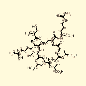 CC(C)C[C@H](NC(=O)[C@H](CCC(=O)O)NC(=O)[C@H](CCC(=O)O)NC(=O)[C@H](CCC(=O)O)NC(=O)[C@H](CC(C)C)NC(=O)[C@H](CCCNC(=N)N)NC(=O)[C@@H](N)CO)C(=O)N[C@@H](CCCNC(=N)N)C(=O)O